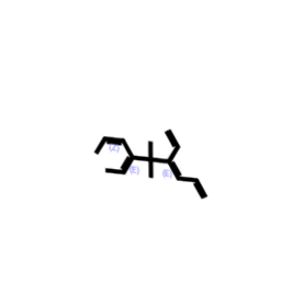 C=C/C=C(\C=C)C(C)(C)C(/C=C\C)=C/C